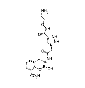 NCCONC(=O)C1=CN(CC(=O)N[C@H]2Cc3cccc(C(=O)O)c3OB2O)NN1